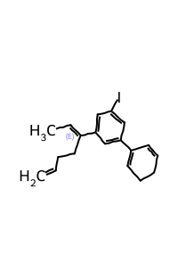 C=CCC/C(=C\C)c1cc(I)cc(C2=CCCC=C2)c1